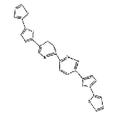 C1=C(c2ccc(-c3cccs3)s2)CCC(c2ccc(-c3ccc(-c4cccs4)s3)cn2)=N1